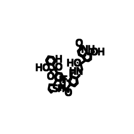 O=C(NC[SH]1C=CC=C1c1cccc([C@](O)(C(=O)O)c2ccccc2)c1)c1ccc(CNC[C@H](O)c2ccc(O)c3[nH]c(=O)ccc23)c(F)c1F